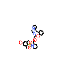 COc1cc(C)c(S(=O)(=O)N2CCCCC2COCC(=O)N2CCn3cccc3C2c2ccccc2)c(C)c1